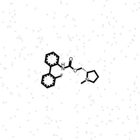 CN1CCC[C@H]1COC(=O)Nc1ccccc1-c1ccccc1F